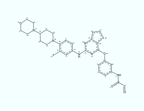 C=CC(=O)Nc1cccc(Oc2nc(Nc3ccc(N4CCC(N5CCOCC5)CC4)c(F)c3)nc3ccsc23)c1